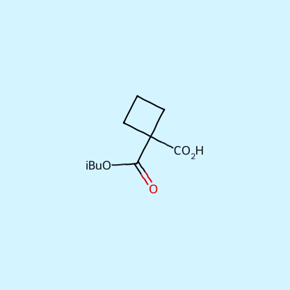 CC(C)COC(=O)C1(C(=O)O)CCC1